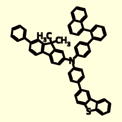 CC1(C)c2cc(-c3ccccc3)ccc2-c2ccc(N(c3ccc(-c4ccc5sc6ccccc6c5c4)cc3)c3ccc(-c4ccccc4-c4cccc5ccccc45)cc3)cc21